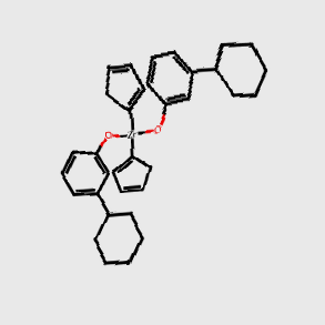 C1=CC[C]([Zr]([O]c2cccc(C3CCCCC3)c2)([O]c2cccc(C3CCCCC3)c2)[C]2=CC=CC2)=C1